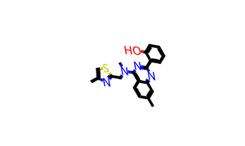 Cc1ccc2c(N(C)Cc3nc(C)cs3)nc(-c3ccccc3O)nc2c1